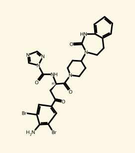 Nc1c(Br)cc(C(=O)C[C@@H](NC(=O)n2cncn2)C(=O)N2CCC(N3CCc4ccccc4NC3=O)CC2)cc1Br